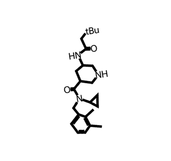 Cc1cccc(CN(C(=O)C2CNCC(NC(=O)CC(C)(C)C)C2)C2CC2)c1C